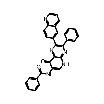 O=C(Nc1c[nH]c2nc(-c3ccccc3)c(-c3ccc4ncccc4c3)nc2c1=O)c1ccccc1